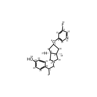 CC(CN1C[C@H]2C[C@H](Oc3cncc(F)c3)C[C@@]2(C)C1)c1ccc(O)cc1